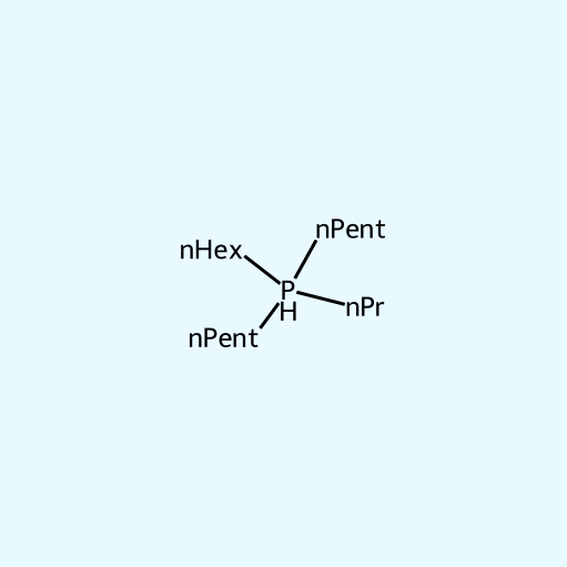 CCCCCC[PH](CCC)(CCCCC)CCCCC